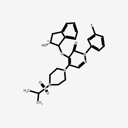 CC(C)S(=O)(=O)N1CCN(c2cnn(-c3cccc(F)c3)c(=O)c2OC2c3ccccc3C[C@H]2O)CC1